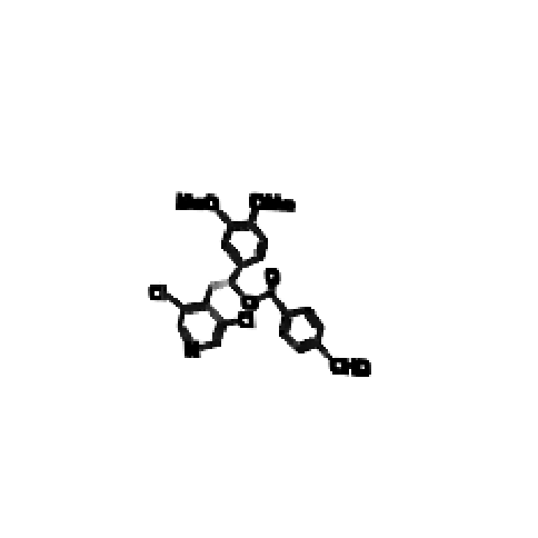 COc1ccc([C@@H](Cc2c(Cl)cncc2Cl)OC(=O)c2ccc(C=O)cc2)cc1OC